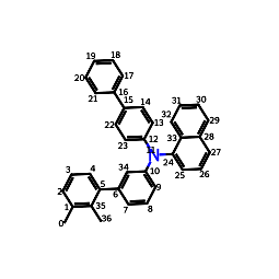 Cc1cccc(-c2cccc(N(c3ccc(-c4ccccc4)cc3)c3cccc4ccccc34)c2)c1C